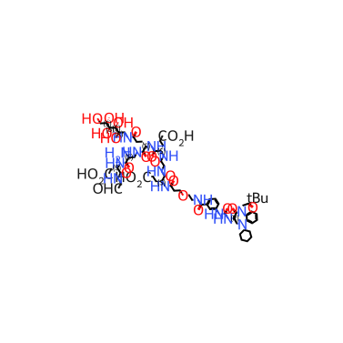 CC(C)(C)C(=O)CN1C(=O)[C@H](NC(=O)Nc2cccc(C(=O)NCCOCCC(=O)N[C@@H](CCC(=O)O)C(=O)NCC(=O)N[C@@H](CCC(=O)O)C(=O)N[C@@H](CCC(=O)NC[C@@H](O)[C@H](O)[C@@H](O)[C@@H](O)CO)C(=O)NC[C@H](N)C(=O)N[C@@H](CC(=O)O)C(=O)NCC=O)c2)CN(C2CCCCC2)c2ccccc21